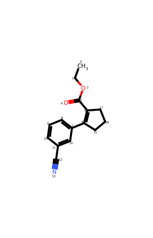 CCOC(=O)C1=C(c2cccc(C#N)c2)CCC1